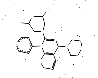 CC1CN(C2=NC(N3CCOCC3)C3=C(NCC=C3)N2c2ccncc2)CC(C)O1